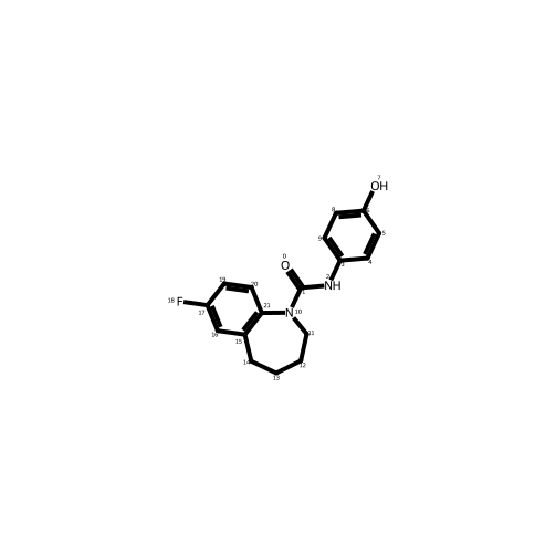 O=C(Nc1ccc(O)cc1)N1CCCCc2cc(F)ccc21